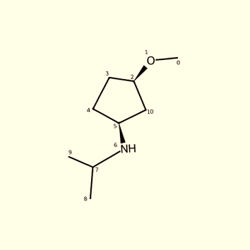 CO[C@@H]1CC[C@H](NC(C)C)C1